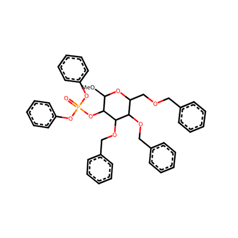 COC1OC(COCc2ccccc2)C(OCc2ccccc2)C(OCc2ccccc2)C1OP(=O)(Oc1ccccc1)Oc1ccccc1